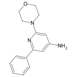 Nc1cc(-c2ccccc2)nc(N2CCOCC2)c1